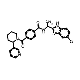 CC(NC(=O)c1ccc(C(=O)N2CCCCC2c2cccnc2)cc1)c1nc2cc(Cl)ccc2[nH]1